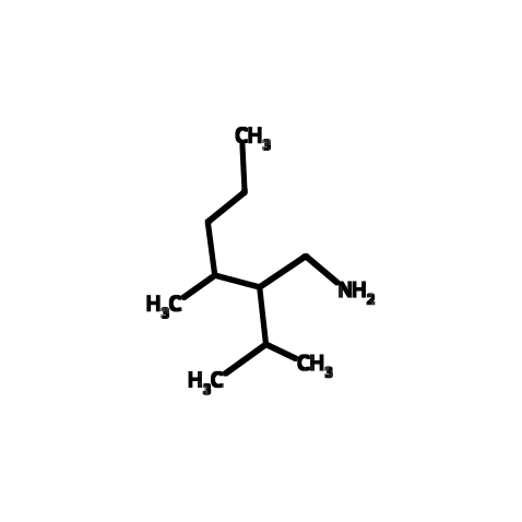 CCCC(C)C(CN)C(C)C